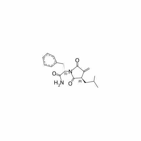 C=C1C(=O)N([C@@H](Cc2ccccc2)C(N)=O)C(=O)[C@@H]1CC(C)C